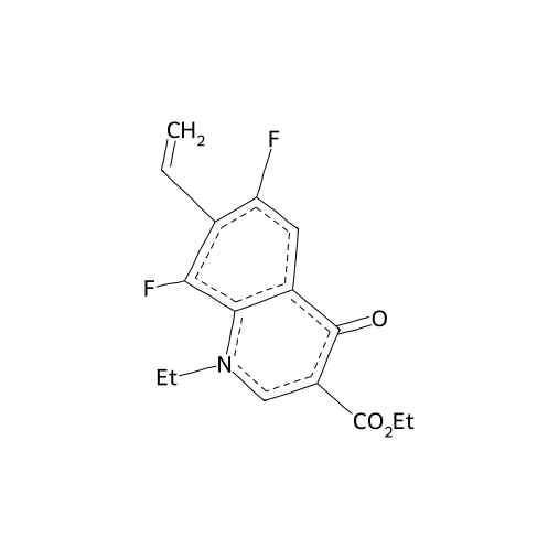 C=Cc1c(F)cc2c(=O)c(C(=O)OCC)cn(CC)c2c1F